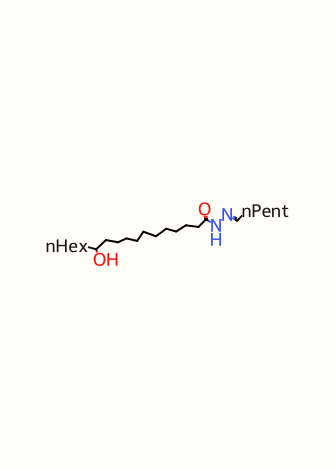 CCCCCC=NNC(=O)CCCCCCCCCCC(O)CCCCCC